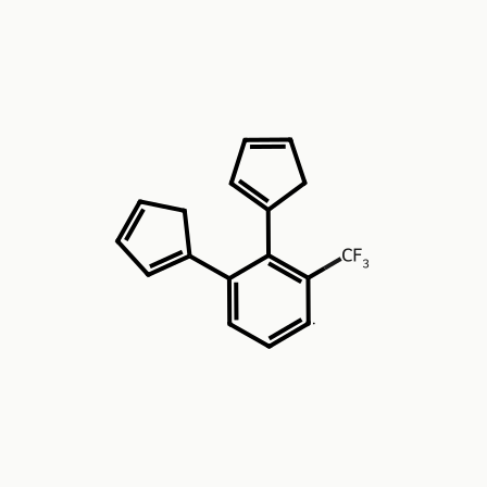 FC(F)(F)c1[c]ccc(C2=CC=CC2)c1C1=CC=CC1